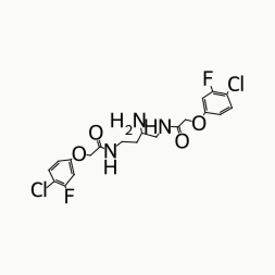 NC(CCNC(=O)COc1ccc(Cl)c(F)c1)CNC(=O)COc1ccc(Cl)c(F)c1